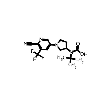 CC(C)(C)N(C(=O)O)C1CCN(c2cnc(C#N)c(C(F)(F)F)c2)C1